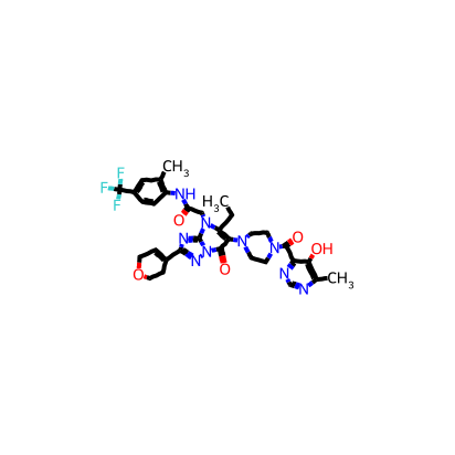 CCc1c(N2CCN(C(=O)c3ncnc(C)c3O)CC2)c(=O)n2nc(C3=CCOCC3)nc2n1CC(=O)Nc1ccc(C(F)(F)F)cc1C